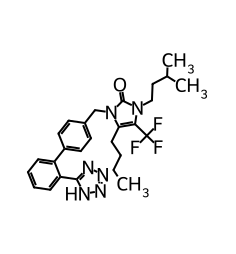 CCCCc1c(C(F)(F)F)n(CCC(C)C)c(=O)n1Cc1ccc(-c2ccccc2-c2nnn[nH]2)cc1